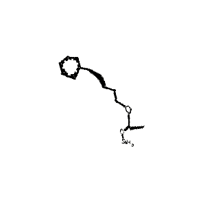 CC(O[SiH3])OCCC=Cc1ccccc1